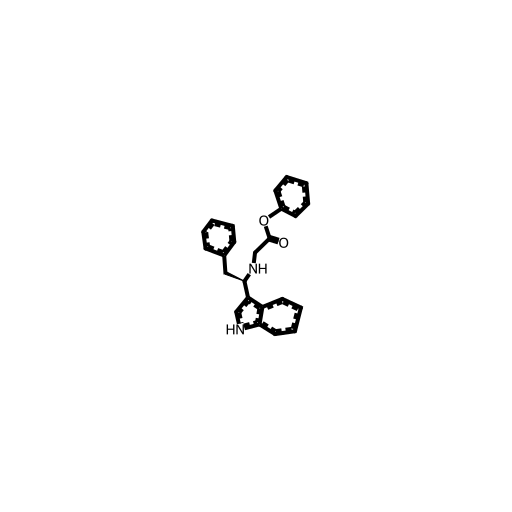 O=C(CN[C@H](Cc1ccccc1)c1c[nH]c2ccccc12)Oc1ccccc1